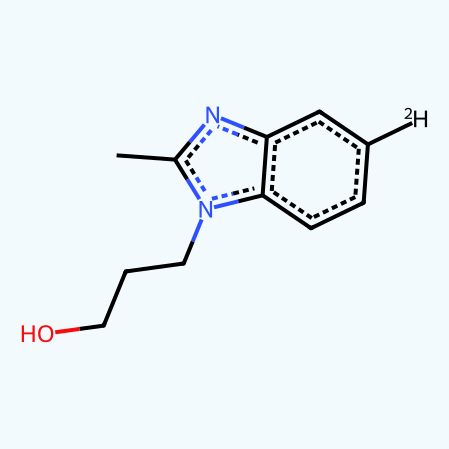 [2H]c1ccc2c(c1)nc(C)n2CCCO